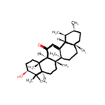 C[C@H]1[C@H](C)CC[C@]2(C)CC[C@]3(C)C(=CC(=O)[C@@H]4[C@@]5(C)CC[C@H](O)C(C)(C)[C@@H]5CC[C@]43C)[C@H]12